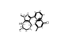 Cc1cc(Cl)ccc1[C@@H]1SC[C@@H](C)Nc2c1c(-c1ccccn1)nn2C